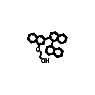 OCCOc1cc(-c2ccc3ccccc3c2-c2cccc3ccccc23)cc2ccccc12